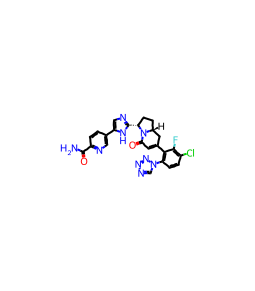 NC(=O)c1ccc(-c2cnc([C@@H]3CC[C@@H]4CC(c5c(-n6cnnn6)ccc(Cl)c5F)=CC(=O)N43)[nH]2)cn1